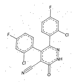 N#Cc1c(-c2ccc(F)cc2Cl)c(-c2ccc(F)cc2Cl)n[nH]c1=O